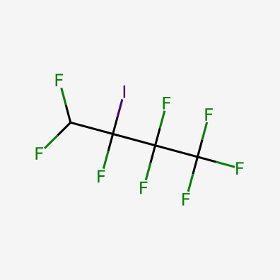 FC(F)C(F)(I)C(F)(F)C(F)(F)F